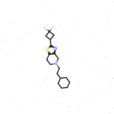 FC1(F)CC(c2nc3c(s2)CCN(CCC2CCCCC2)C3)C1